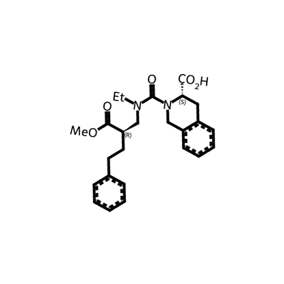 CCN(C[C@@H](CCc1ccccc1)C(=O)OC)C(=O)N1Cc2ccccc2C[C@H]1C(=O)O